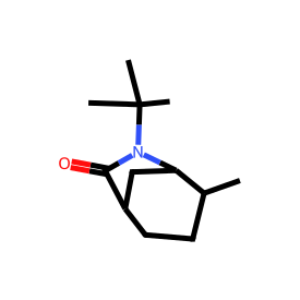 CC1CCC2CC1N(C(C)(C)C)C2=O